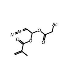 C=C(C)C(=O)OC(C=[N+]=[N-])OC(=O)CC(C)=O